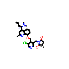 C=C/C=C(/c1cc(C)nc2c(OCc3c(Cl)cncc3CN3C(=O)C[C@@H](C)C3=O)cccc12)N(C)C